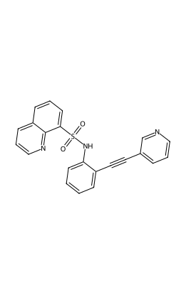 O=S(=O)(Nc1ccccc1C#Cc1cccnc1)c1cccc2cccnc12